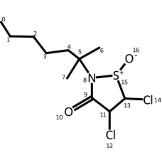 CCCCCC(C)(C)N1C(=O)C(Cl)C(Cl)[S+]1[O-]